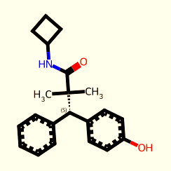 CC(C)(C(=O)NC1CCC1)[C@@H](c1ccccc1)c1ccc(O)cc1